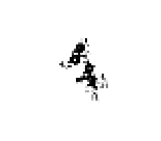 Cc1ccc2c(c1)Oc1cc(C)ccc1N2C(=O)OCc1ccc(C2=C(C(=O)O)N3C(=O)[C@H]([C@@H](C)O)[C@H]3[C@H]2C)cc1